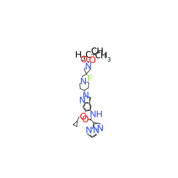 CC(C)(C)OC(=O)N1CC(F)(CN2CCC(n3cc4cc(NC(=O)c5cnn6cccnc56)c(OCC5CC5)cc4n3)CC2)C1